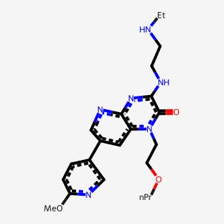 CCCOCCn1c(=O)c(NCCNCC)nc2ncc(-c3ccc(OC)nc3)cc21